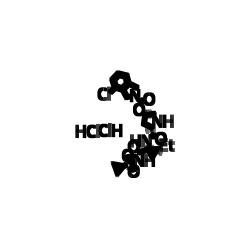 CC[C@H]1C[C@]1(NC(=O)[C@@H]1C[C@@H](OC(=O)N2Cc3cccc(Cl)c3C2)CN1)C(=O)NS(=O)(=O)C1CC1.Cl.Cl